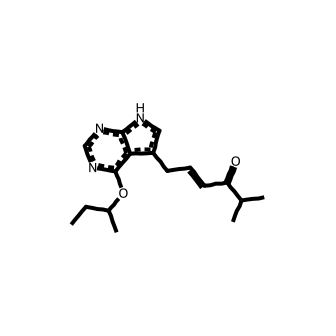 CCC(C)Oc1ncnc2[nH]cc(CC=CC(=O)C(C)C)c12